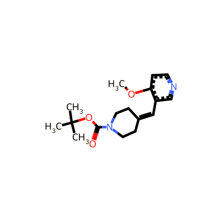 COc1ccncc1C=C1CCN(C(=O)OC(C)(C)C)CC1